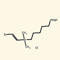 CCC=C[N+](C)(C)CCCCCCCCCCCC.[Cl-]